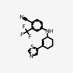 N#Cc1ccc(NC2C=C(c3cncs3)CCC2)cc1C(F)(F)F